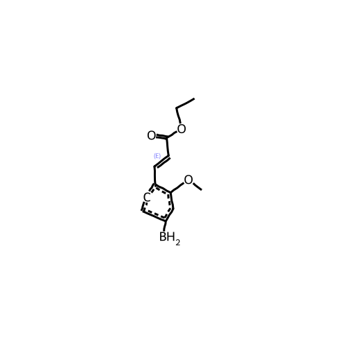 Bc1ccc(/C=C/C(=O)OCC)c(OC)c1